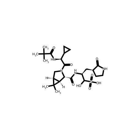 CC(C)(C)C(=O)N[C@H](C(=O)N1C[C@H]2[C@@H]([C@H]1C(=O)N[C@@H](C[C@@H]1CCNC1=O)C(O)S(=O)(=O)O)C2(C)C)C1CC1